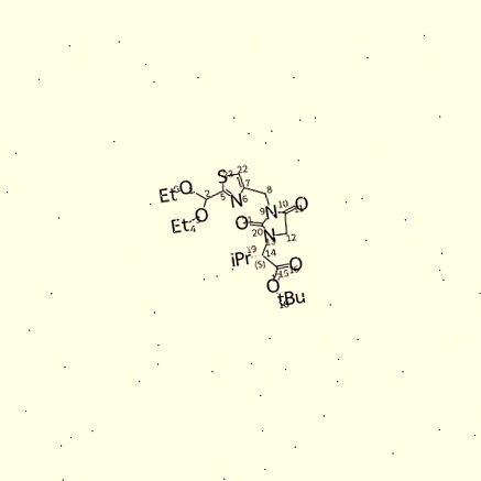 CCOC(OCC)c1nc(CN2C(=O)CN([C@H](C(=O)OC(C)(C)C)C(C)C)C2=O)cs1